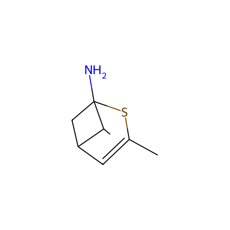 CC1=CC2CC(N)(S1)C2C